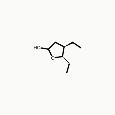 CC[C@@H]1CC(O)O[C@H]1CC